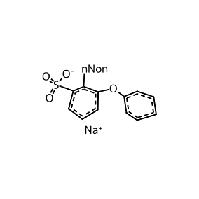 CCCCCCCCCc1c(Oc2ccccc2)cccc1S(=O)(=O)[O-].[Na+]